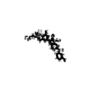 CC(C)n1c(=O)c(-c2cc(F)c(NS(=O)(=O)CCC(F)(F)F)c(F)c2)nc2cnc(N[C@@H]3CCC[C@H](F)C3)nc21